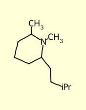 CC(C)CCC1CCCC(C)N1C